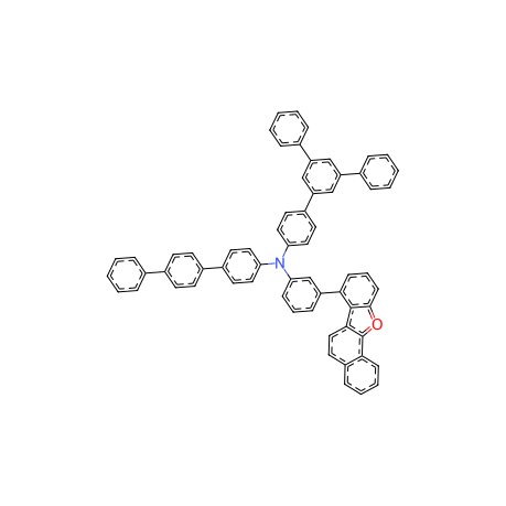 c1ccc(-c2ccc(-c3ccc(N(c4ccc(-c5cc(-c6ccccc6)cc(-c6ccccc6)c5)cc4)c4cccc(-c5cccc6oc7c8ccccc8ccc7c56)c4)cc3)cc2)cc1